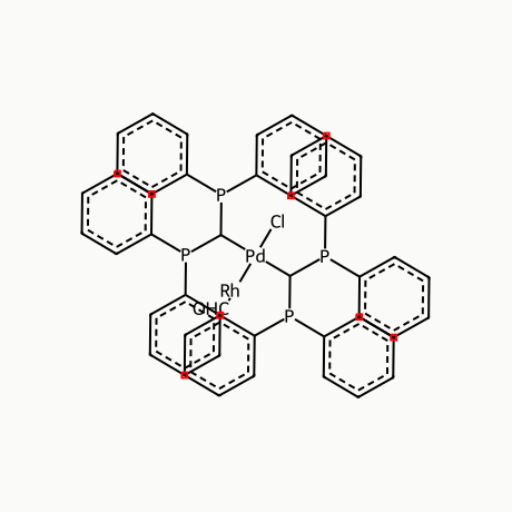 O=[CH][Rh][Pd]([Cl])([CH](P(c1ccccc1)c1ccccc1)P(c1ccccc1)c1ccccc1)[CH](P(c1ccccc1)c1ccccc1)P(c1ccccc1)c1ccccc1